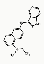 CN(CC(F)(F)F)c1cccc2cc(Nc3n[nH]c4cccnc34)ccc12